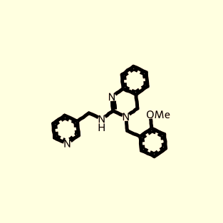 COc1ccccc1CN1Cc2ccccc2N=C1NCc1cccnc1